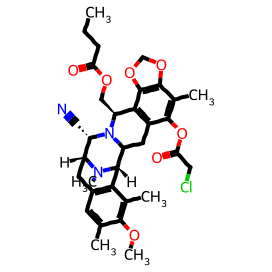 CCCC(=O)OC[C@H]1c2c(c(OC(=O)CCl)c(C)c3c2OCO3)CC2[C@@H]3c4c(cc(C)c(OC)c4C)C[C@H]([C@H](C#N)N21)N3C